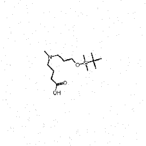 CN(CCCO[Si](C)(C)C(C)(C)C)CCCC(=O)O